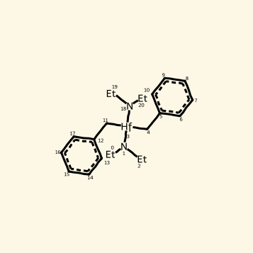 CC[N](CC)[Hf]([CH2]c1ccccc1)([CH2]c1ccccc1)[N](CC)CC